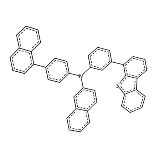 c1cc(-c2cccc3c2sc2ccccc23)cc(N(c2ccc(-c3cccc4ccccc34)cc2)c2ccc3ccccc3c2)c1